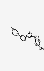 CN1CCCN(c2cccc(-n3cnc(Nc4cnc(C#N)cn4)c3)c2)CC1